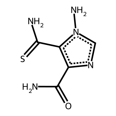 NC(=O)c1ncn(N)c1C(N)=S